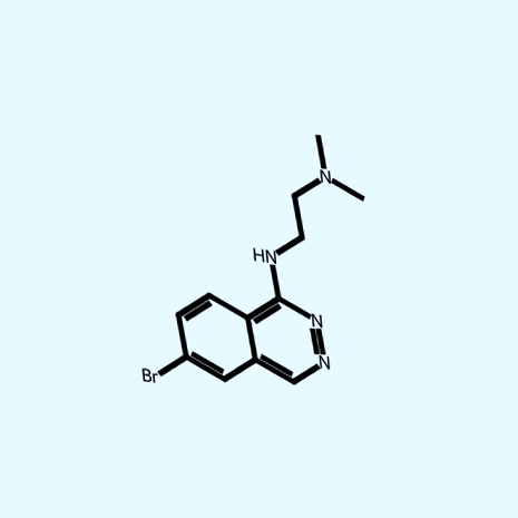 CN(C)CCNc1nncc2cc(Br)ccc12